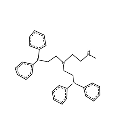 CNCCN(CCP(c1ccccc1)c1ccccc1)CCP(c1ccccc1)c1ccccc1